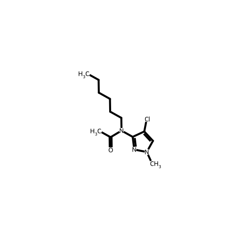 CCCCCCN(C(C)=O)c1nn(C)cc1Cl